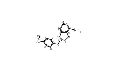 CCOc1ccc(CN2CCc3c(N)ncnc3C2)cc1